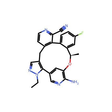 CCn1ncc2c1-c1cnc(N)c(c1)O[C@H](C)c1cc(F)ccc1-c1c(ccnc1C#N)C2